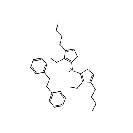 CCCCC1=CC[C]([Zr][C]2=C(CC)C(CCCC)=CC2)=C1CC.c1ccc(CCc2ccccc2)cc1